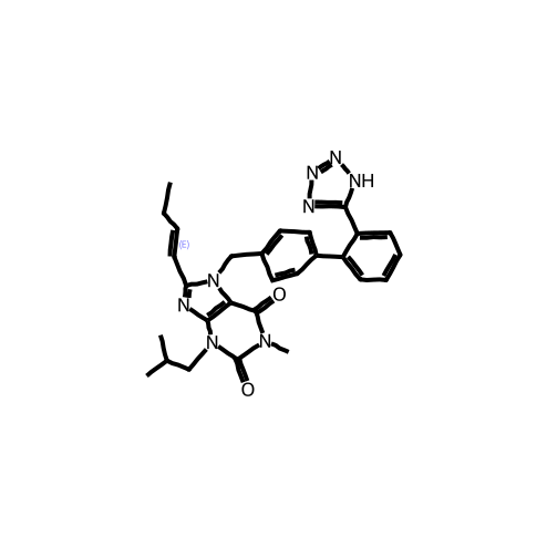 CC/C=C/c1nc2c(c(=O)n(C)c(=O)n2CC(C)C)n1Cc1ccc(-c2ccccc2-c2nnn[nH]2)cc1